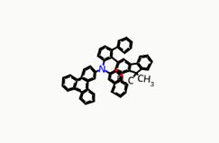 CC1(C)c2ccccc2-c2cc(-c3c(-c4ccccc4)cccc3N(c3ccc4ccccc4c3)c3ccc4c5ccccc5c5ccccc5c4c3)ccc21